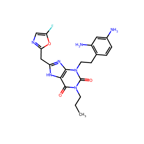 CCCn1c(=O)c2[nH]c(Cc3ncc(F)o3)nc2n(CCc2ccc(N)cc2N)c1=O